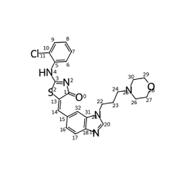 O=C1N=C(Nc2ccccc2Cl)SC1=Cc1ccc2ncn(CCCN3CCOCC3)c2c1